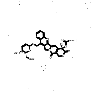 CCCCCC(=O)O[C@]1(CC)C(=O)OCc2c1cc1n(c2=O)Cc2c-1nc1ccccc1c2COC1C=C[C@H](OC(C)=O)[C@@H](COC(C)=O)O1